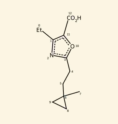 CCc1nc(CCC2(C)CC2)oc1C(=O)O